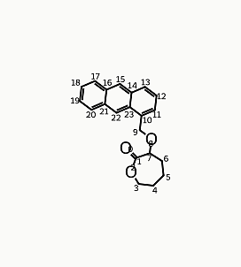 O=C1OCCCCC1OCc1cccc2cc3ccccc3cc12